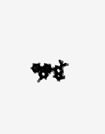 Oc1ccc(F)cc1CN1C2CC1CN(c1ccc(-c3nc(C(F)F)nc4[nH]ccc34)cn1)C2